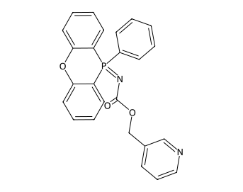 O=C(N=P1(c2ccccc2)c2ccccc2Oc2ccccc21)OCc1cccnc1